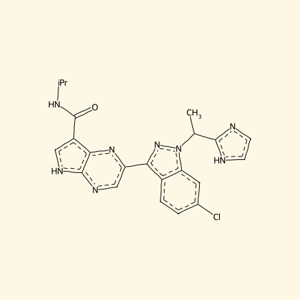 CC(C)NC(=O)c1c[nH]c2ncc(-c3nn(C(C)c4ncc[nH]4)c4cc(Cl)ccc34)nc12